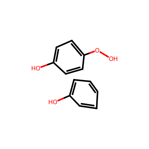 OOc1ccc(O)cc1.Oc1ccccc1